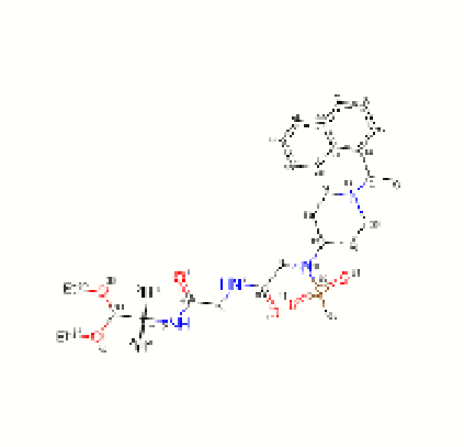 [2H]C([2H])(NC(=O)CNC(=O)CN(C1CCN(C(C)c2cccc3ccccc23)CC1)S(C)(=O)=O)C(OCC)OCC